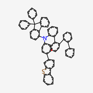 c1ccc(-c2ccccc2-c2ccccc2-c2ccccc2N(c2ccc(-c3ccc4c(c3)sc3ccccc34)cc2)c2cccc3c2-c2ccccc2C3(c2ccccc2)c2ccccc2)cc1